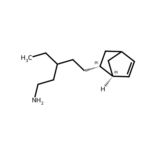 CCC(CCN)CC[C@@H]1CC2C=C[C@@H]1C2